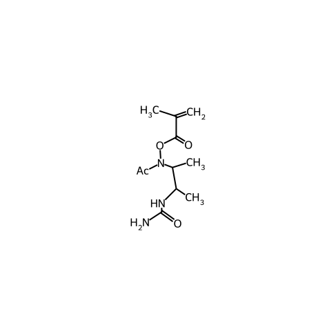 C=C(C)C(=O)ON(C(C)=O)C(C)C(C)NC(N)=O